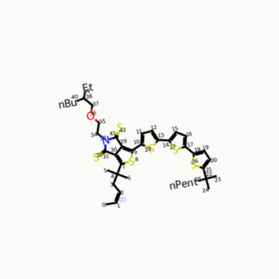 C/C=C\CC(C)(C)c1sc(-c2ccc(-c3ccc(-c4ccc(C(C)(C)CCCCC)s4)s3)s2)c2c1C(=S)N(CCOCC(CC)CCCC)C2=S